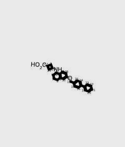 O=C(O)[C@H]1C[C@H](NC2CCCc3cc(OCc4ccc(-c5ccccc5)cc4)ccc32)C1